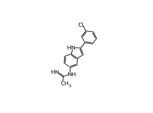 CC(=N)Nc1ccc2[nH]c(-c3cccc(Cl)c3)cc2c1